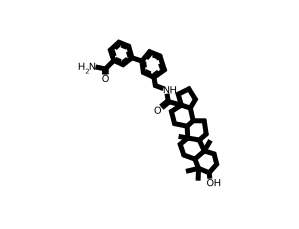 CC1(C)C(O)CCC2(C)C1CCC1(C)C3CCC4(C(=O)NCc5cccc(-c6cccc(C(N)=O)c6)c5)CCCC4C3CCC12